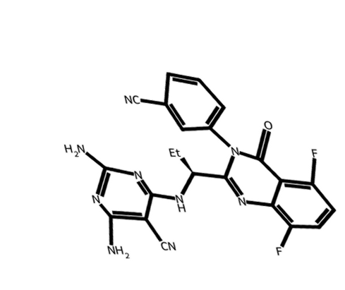 CC[C@H](Nc1nc(N)nc(N)c1C#N)c1nc2c(F)ccc(F)c2c(=O)n1-c1cccc(C#N)c1